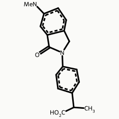 CNc1ccc2c(c1)C(=O)N(c1ccc(C(C)C(=O)O)cc1)C2